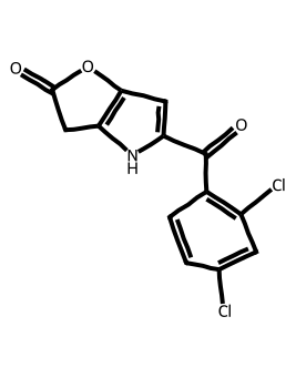 O=C1Cc2[nH]c(C(=O)c3ccc(Cl)cc3Cl)cc2O1